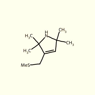 CSCC1=CC(C)(C)NC1(C)C